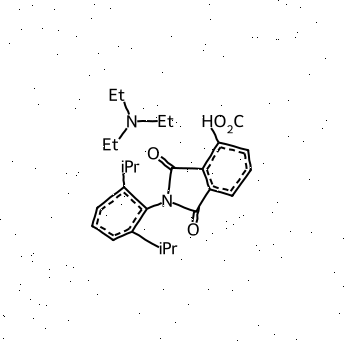 CC(C)c1cccc(C(C)C)c1N1C(=O)c2cccc(C(=O)O)c2C1=O.CCN(CC)CC